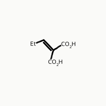 CCC=C(C(=O)O)C(=O)O